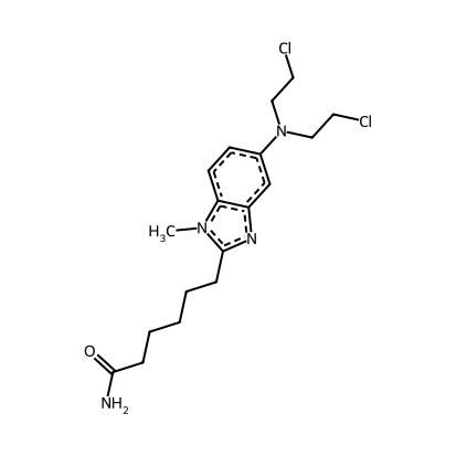 Cn1c(CCCCCC(N)=O)nc2cc(N(CCCl)CCCl)ccc21